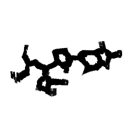 NC/C(=C/F)CC(c1ccc(-c2ccc3oc(=O)[nH]c3c2)s1)n1cn[nH]c1=O